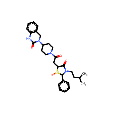 CC(C)CCN1C(=O)C(CC(=O)N2CCC(N3Cc4ccccc4NC3=O)CC2)[S+]([O-])C1c1ccccc1